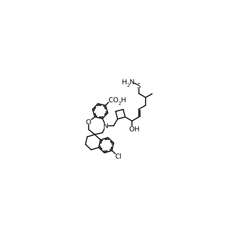 CC(C/C=C/C(O)C1CCC1CN1CC2(CCCc3cc(Cl)ccc32)COc2ccc(C(=O)O)cc21)CSN